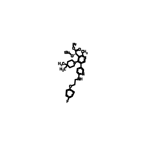 Cc1ncc(-c2ccc(NCCOc3ccc(F)cc3)nc2)c(N2CCC(C)(C)CC2)c1[C@H](OC(C)(C)C)C(=O)OC(C)C